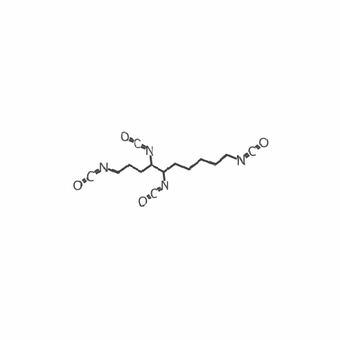 O=C=NCCCCCC(N=C=O)C(CCCN=C=O)N=C=O